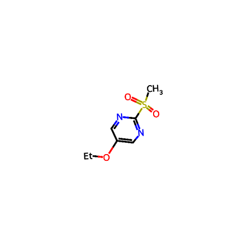 CCOc1cnc(S(C)(=O)=O)nc1